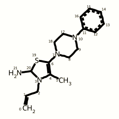 C=CCN1C(C)=C(N2CCN(c3ccccc3)CC2)SC1N